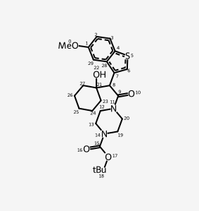 COc1ccc2scc(C(C(=O)N3CCN(C(=O)OC(C)(C)C)CC3)C3(O)CCCCC3)c2c1